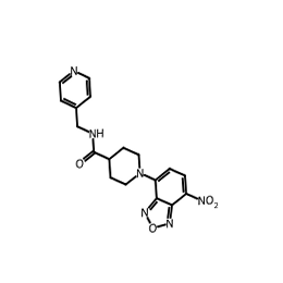 O=C(NCc1ccncc1)C1CCN(c2ccc([N+](=O)[O-])c3nonc23)CC1